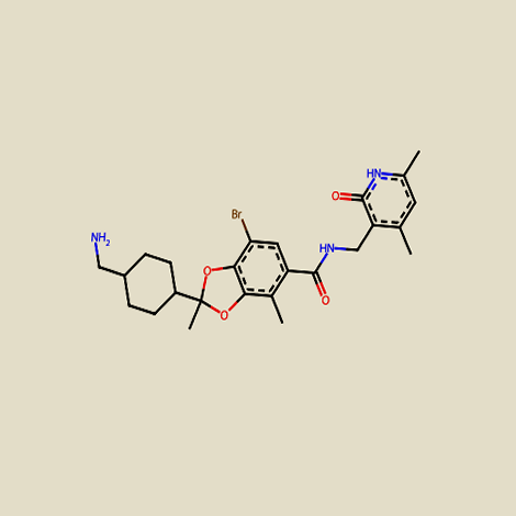 Cc1cc(C)c(CNC(=O)c2cc(Br)c3c(c2C)OC(C)(C2CCC(CN)CC2)O3)c(=O)[nH]1